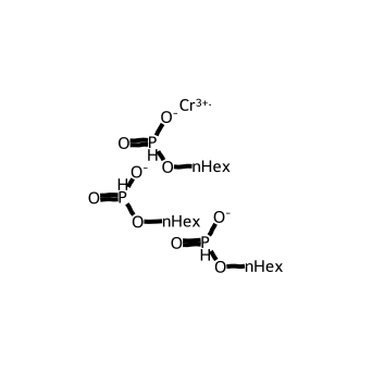 CCCCCCO[PH](=O)[O-].CCCCCCO[PH](=O)[O-].CCCCCCO[PH](=O)[O-].[Cr+3]